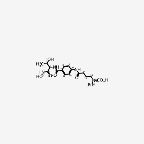 C[C@@H](O)[C@H](NC(=O)c1ccc(NC(=O)CCCN(C(=O)O)C(C)(C)C)cc1)C(=O)NO